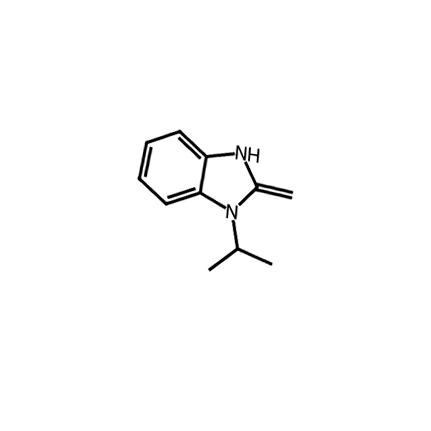 C=C1Nc2ccccc2N1C(C)C